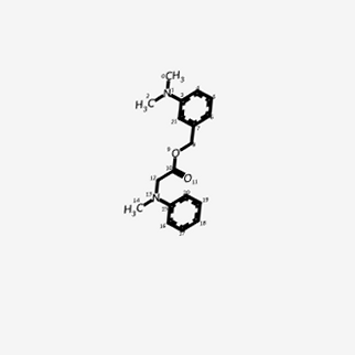 CN(C)c1cccc(COC(=O)CN(C)c2ccccc2)c1